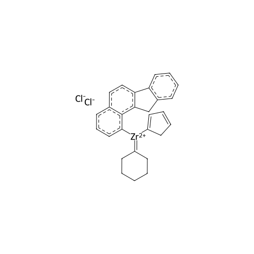 C1=CC[C]([Zr+2](=[C]2CCCCC2)[c]2cccc3ccc4c(c23)Cc2ccccc2-4)=C1.[Cl-].[Cl-]